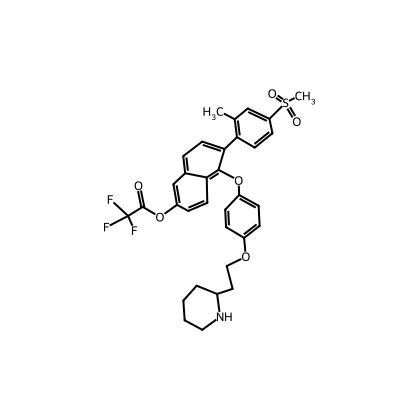 Cc1cc(S(C)(=O)=O)ccc1-c1ccc2cc(OC(=O)C(F)(F)F)ccc2c1Oc1ccc(OCCC2CCCCN2)cc1